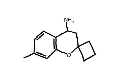 Cc1ccc2c(c1)OC1(CCC1)CC2N